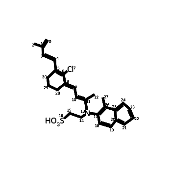 C=C(C)/C=C/C1=C(Cl)C(=C/C=C(\C)N(CCS(=O)(=O)O)c2ccc3ccccc3c2C)/CCC1